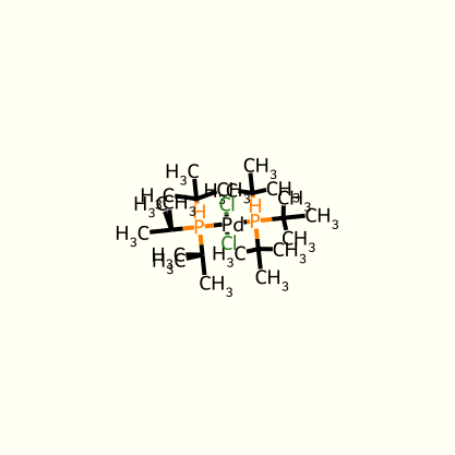 CC(C)(C)[PH](C(C)(C)C)(C(C)(C)C)[Pd]([Cl])([Cl])[PH](C(C)(C)C)(C(C)(C)C)C(C)(C)C